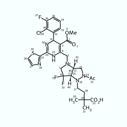 COC(=O)C1=C(CN2CC(F)(F)[C@@H]3[C@H]2CN(C(C)=O)N3CCC(C)(C)C(=O)O)NC(c2nccs2)=NC1c1cccc(F)c1Cl